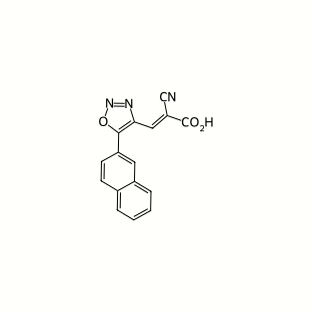 N#C/C(=C\c1nnoc1-c1ccc2ccccc2c1)C(=O)O